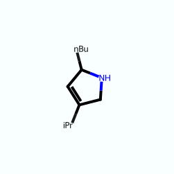 CCCCC1C=C(C(C)C)CN1